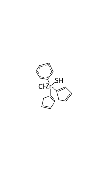 [SH][Zr]([Cl])([C]1=CC=CC1)([C]1=CC=CC1)[c]1ccccc1